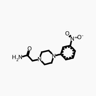 NC(=O)CN1CCN(c2cccc([N+](=O)[O-])c2)CC1